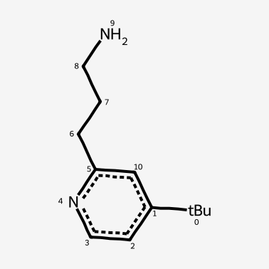 CC(C)(C)c1ccnc(CCCN)c1